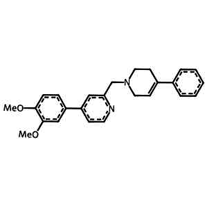 COc1ccc(-c2ccnc(CN3CC=C(c4ccccc4)CC3)c2)cc1OC